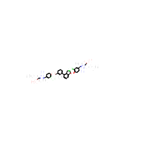 Cc1c(COc2ccc(CNC(C)(CO)C(=O)O)cc2Cl)cccc1-c1cccc2c1CCC2Oc1ccc(CNC(C)(CO)C(=O)O)cc1Cl